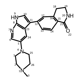 CN1CCN(c2cnc3[nH]cc(-c4ccc5c(c4)CCNC5=O)c3c2)CC1